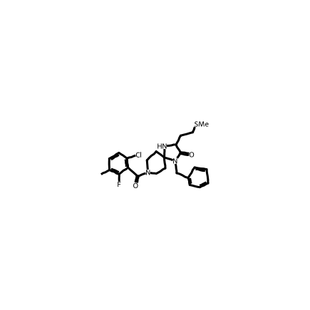 CSCCC1NC2(CCN(C(=O)c3c(Cl)ccc(C)c3F)CC2)N(Cc2ccccc2)C1=O